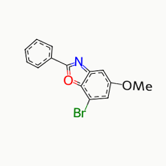 COc1cc(Br)c2oc(-c3ccccc3)nc2c1